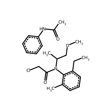 CC(=O)Nc1ccccc1.CCc1cccc(C)c1N(C(=O)CCl)C(C)COC